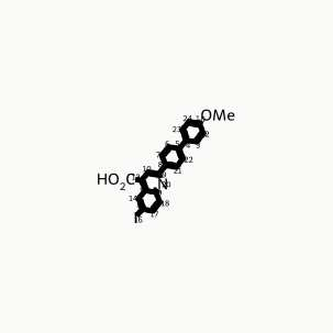 COc1ccc(-c2ccc(-c3cc(C(=O)O)c4cc(I)ccc4n3)cc2)cc1